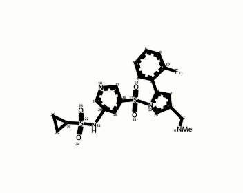 CNCc1cc(-c2ccccc2F)n(S(=O)(=O)c2cncc(NS(=O)(=O)C3CC3)c2)c1